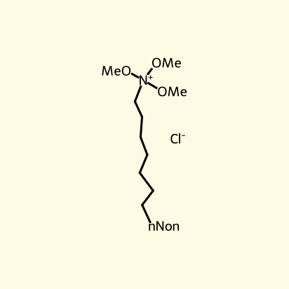 CCCCCCCCCCCCCCCC[N+](OC)(OC)OC.[Cl-]